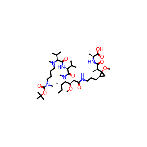 CC[C@H](C)[C@@H]([C@@H](CC(=O)NCCC[C@@H]1C[C@@]1(OC)[C@@H](C)C(=O)N[C@@H](C)C(=O)O)OC)N(C)C(=O)[C@@H](NC(=O)[C@H](C(C)C)N(C)CCCCN(C)C(=O)OC(C)(C)C)C(C)C